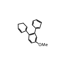 COc1ccc(C2=CCCC=C2)c(-c2ccccc2)c1